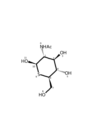 CC(=O)N[C@@H]1[C@@H](O)[C@H](O)[C@@H](CO)S[C@H]1O